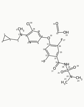 CN(CC1CC1)c1ncc(Oc2cc(F)c(C(=O)NS(=O)(=O)N(C)C)cc2F)cc1Cl.O=CO